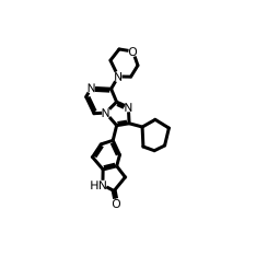 O=C1Cc2cc(-c3c(C4CCCCC4)nc4c(N5CCOCC5)nccn34)ccc2N1